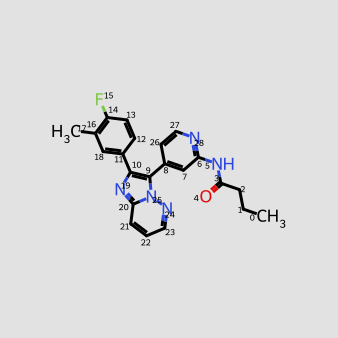 CCCC(=O)Nc1cc(-c2c(-c3ccc(F)c(C)c3)nc3cccnn23)ccn1